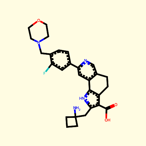 NC1(Cc2[nH]c3c(c2C(=O)O)CCc2cnc(-c4ccc(CN5CCOCC5)c(F)c4)cc2-3)CCC1